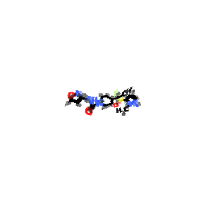 Cn1nccc1[S+]([O-])C(C)(F)C1CCN(C(=O)Nc2ccon2)CC1